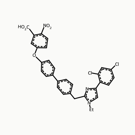 CCn1cc(-c2ccc(Cl)cc2Cl)nc1Cc1ccc(-c2ccc(Oc3ccc([N+](=O)[O-])c(C(=O)O)c3)cc2)cc1